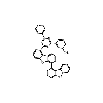 CC1C=C(c2nc(-c3ccccc3)nc(-c3cccc4oc5c(-c6cccc7oc8ccccc8c67)cccc5c34)n2)C=CC1